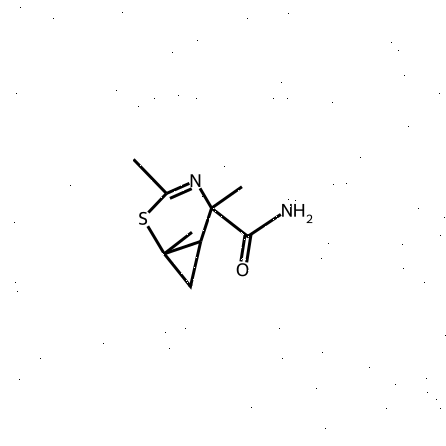 CC1=NC(C)(C(N)=O)C2CC2(C)S1